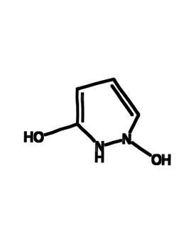 OC1=CC=CN(O)N1